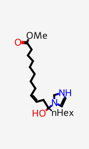 CCCCCC[C@@](O)(C/C=C\CCCCCCCC(=O)OC)N1C=CNC1